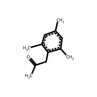 CC(=O)Cc1c(C)cc(C)cc1C